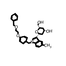 Cc1ccc2c(c1)c([C@H]1C[C@@H](O)C[C@@H](CO)O1)cn2Cc1ccc(OCCOCc2ccccc2)cc1